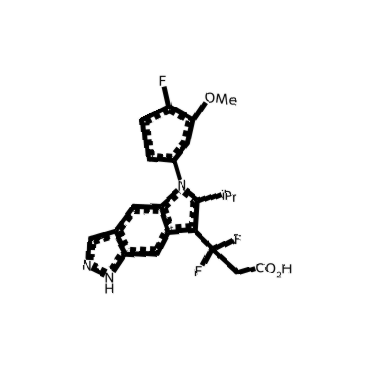 COc1cc(-n2c(C(C)C)c(C(F)(F)CC(=O)O)c3cc4[nH]ncc4cc32)ccc1F